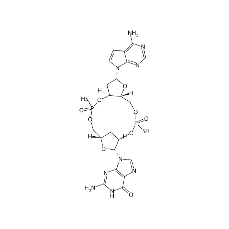 Nc1nc2c(ncn2[C@@H]2O[C@@H]3COP(=O)(S)O[C@H]4C[C@H](n5ccc6c(N)ncnc65)O[C@@H]4COP(=O)(S)O[C@@H]2C3)c(=O)[nH]1